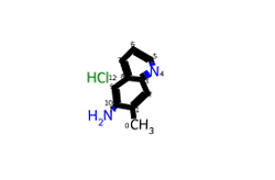 Cc1cc2ncccc2cc1N.Cl